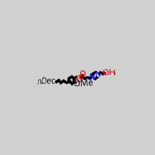 CCCCCCCCCCCCCCCc1ccc(COC(=O)CCCN2CCN(CCO)CC2)c(OC)c1